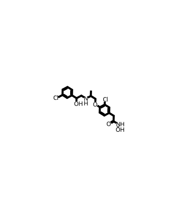 CC(COc1ccc(CC(=O)NO)cc1Cl)NCC(O)c1cccc(Cl)c1